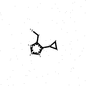 FCc1snnc1C1CC1